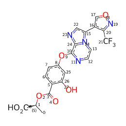 C[C@H](OC(=O)c1ccc(Oc2nccn3c(-c4conc4C(F)(F)F)cnc23)cc1O)C(=O)O